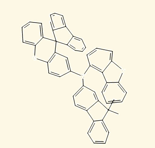 CC1(C)c2ccccc2-c2ccc(N(c3ccc4c(c3)C3(c5ccccc5O4)c4ccccc4-c4ccccc43)c3cccc4oc5ccccc5c34)cc21